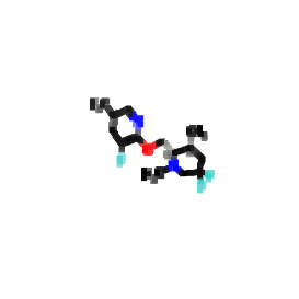 C[C@@H]1CC(F)(F)CN(C)[C@@H]1COc1ncc(C(F)(F)F)cc1F